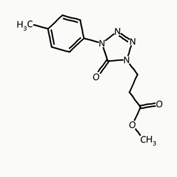 COC(=O)CCn1nnn(-c2ccc(C)cc2)c1=O